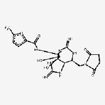 N=C1NC2[C@H](CN3C(=O)CCC3=O)NC(=N)N3CC(NC(=O)c4ccc(C(F)(F)F)o4)C(O)(O)C23N1